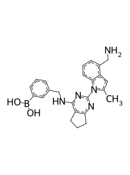 Cc1cc2c(CN)cccc2n1-c1nc2c(c(NCc3cccc(B(O)O)c3)n1)CCC2